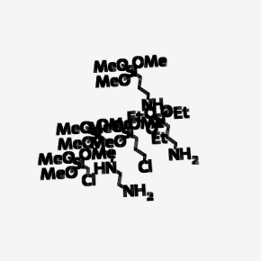 CCO[Si](CCCN)(OCC)OCC.CO[Si](CCCCl)(OC)OC.CO[Si](CCCN)(OC)OC.CO[Si](CCCNCCN)(OC)OC.CO[Si](CCl)(OC)OC